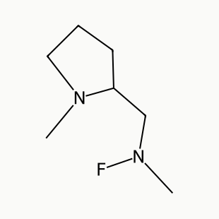 CN(F)CC1CCCN1C